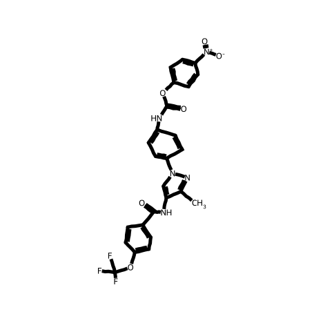 Cc1nn(-c2ccc(NC(=O)Oc3ccc([N+](=O)[O-])cc3)cc2)cc1NC(=O)c1ccc(OC(F)(F)F)cc1